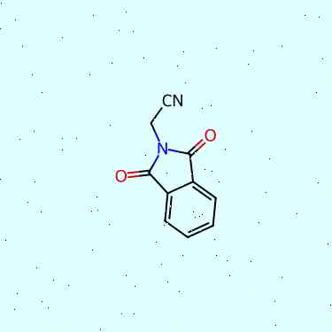 N#CCN1C(=O)c2ccccc2C1=O